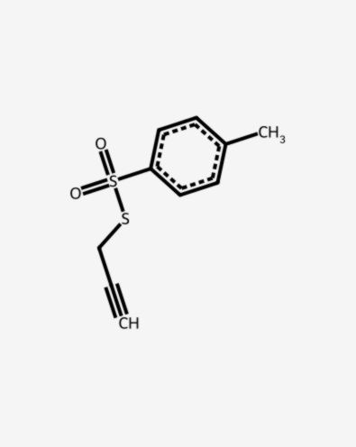 C#CCSS(=O)(=O)c1ccc(C)cc1